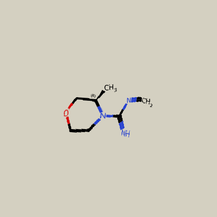 C=NC(=N)N1CCOC[C@H]1C